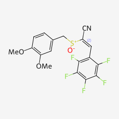 COc1ccc(C[S+]([O-])/C(C#N)=C\c2c(F)c(F)c(F)c(F)c2F)cc1OC